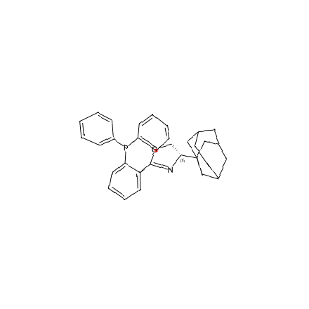 c1ccc(P(c2ccccc2)c2ccccc2C2=N[C@@H](C34CC5CC(CC(C5)C3)C4)CO2)cc1